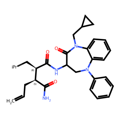 C=CC[C@H](C(N)=O)[C@@H](CC(C)C)C(=O)NC1CN(c2ccccc2)c2ccccc2N(CC2CC2)C1=O